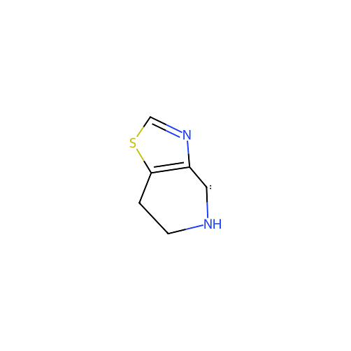 [C]1NCCc2scnc21